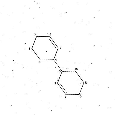 [CH]1C=CC(C2C=CCCC2)CC1